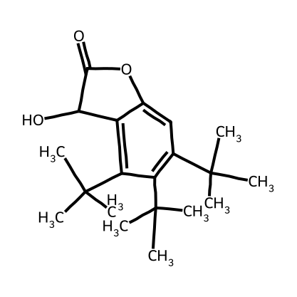 CC(C)(C)c1cc2c(c(C(C)(C)C)c1C(C)(C)C)C(O)C(=O)O2